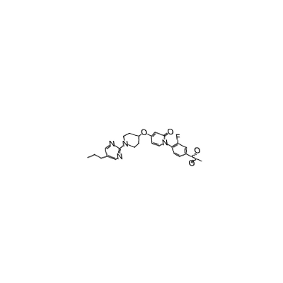 CCCc1cnc(N2CCC(Oc3ccn(-c4ccc(S(C)(=O)=O)cc4F)c(=O)c3)CC2)nc1